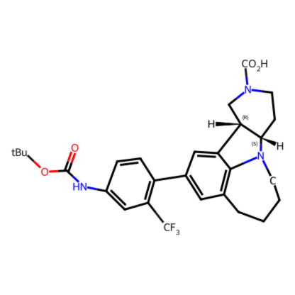 CC(C)(C)OC(=O)Nc1ccc(-c2cc3c4c(c2)[C@@H]2CN(C(=O)O)CC[C@@H]2N4CCCC3)c(C(F)(F)F)c1